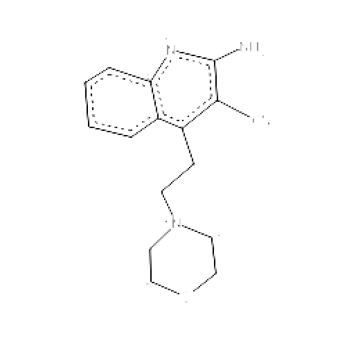 N#Cc1c(N)nc2ccccc2c1CCN1CCOCC1